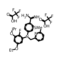 CCOc1cc(OC(C)C)c(F)c(N(Cc2cccc(SC)n2)c2ccc(C(=N)N)cc2)c1.O=C(O)C(F)(F)F.O=C(O)C(F)(F)F